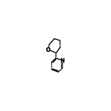 c1ccc(C2CCCCO2)nc1